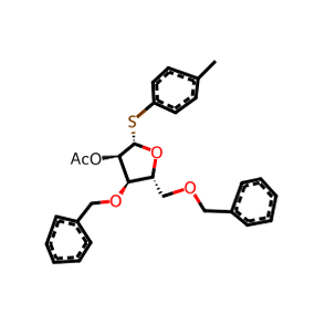 CC(=O)O[C@@H]1[C@H](OCc2ccccc2)[C@@H](COCc2ccccc2)O[C@H]1Sc1ccc(C)cc1